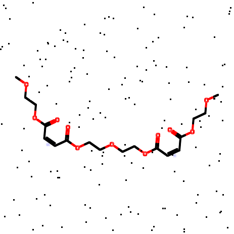 COCCOC(=O)/C=C\C(=O)OCCOCCOC(=O)/C=C\C(=O)OCCOC